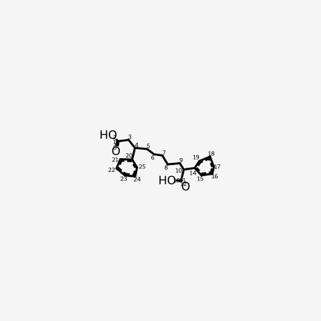 O=C(O)CC(CCCCCC(C(=O)O)c1ccccc1)c1ccccc1